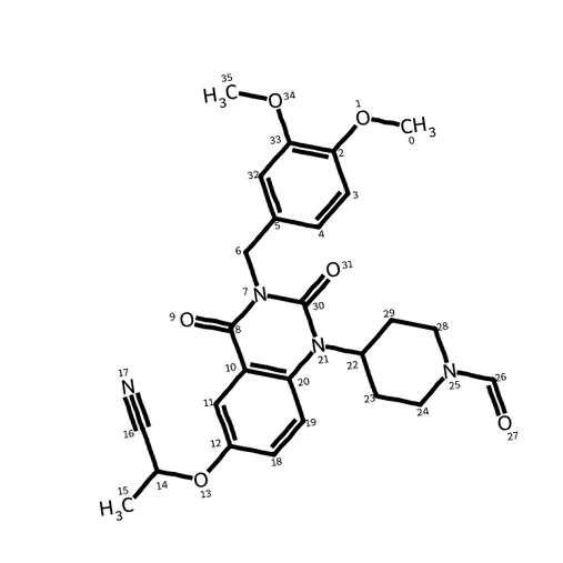 COc1ccc(Cn2c(=O)c3cc(OC(C)C#N)ccc3n(C3CCN(C=O)CC3)c2=O)cc1OC